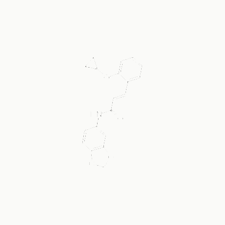 O=C(/C=C/c1ccccc1OC1CC1)Nc1ccc2c(c1)OCO2